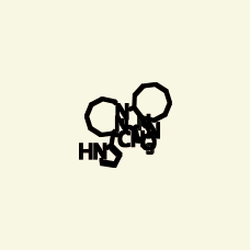 CC1(c2ccc[nH]2)CCCCCCN(C2CCCCCCCC2)N1c1conn1